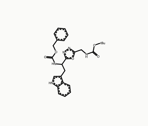 CC(C)(C)OC(=O)NCc1nnc(C(Cc2c[nH]c3ccccc23)NC(=O)OCc2ccccc2)o1